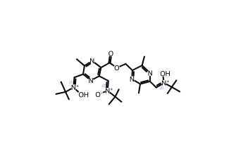 Cc1nc(COC(=O)c2nc(C)c(/C=[N+](\O)C(C)(C)C)nc2/C=[N+](\[O-])C(C)(C)C)c(C)nc1/C=[N+](\O)C(C)(C)C